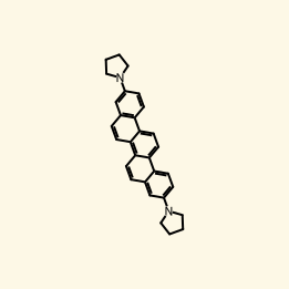 c1cc2c(ccc3c2ccc2c4ccc(N5CCCC5)cc4ccc23)cc1N1CCCC1